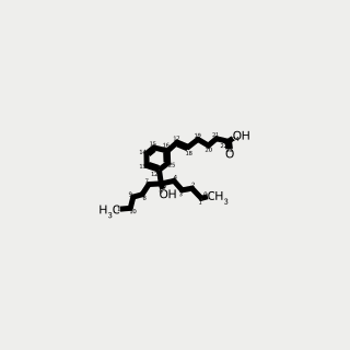 CCCCCC(O)(CCCCC)c1cccc(C=CCCCC(=O)O)c1